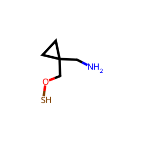 NCC1(COS)CC1